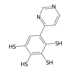 Sc1cc(-c2ccn[c]n2)c(S)c(S)c1S